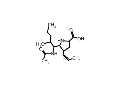 C/C=C\C1CC(C(=O)O)NC1C(NC(C)=O)C(C)CCC